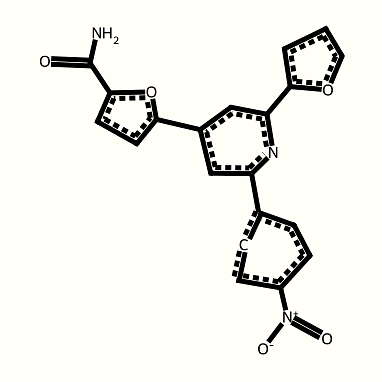 NC(=O)c1ccc(-c2cc(-c3ccc([N+](=O)[O-])cc3)nc(-c3ccco3)c2)o1